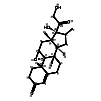 CC1C[C@H]2[C@@H]3CCC4=CC(=O)CC[C@]4(C)[C@]34OC4C[C@]2(C)[C@@]1(O)C(=O)CO